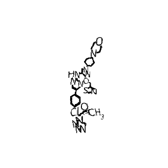 C[C@@H](Cn1cnnn1)Oc1cc(-c2cnc(Nc3cn(C4CCC(N5CCOCC5)CC4)nc3OCc3cncs3)nc2)ccc1Cl